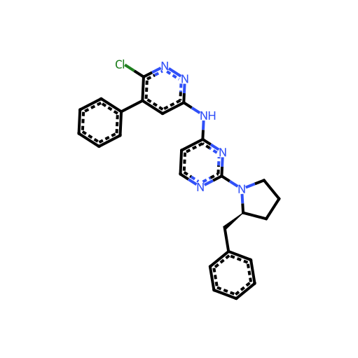 Clc1nnc(Nc2ccnc(N3CCC[C@H]3Cc3ccccc3)n2)cc1-c1ccccc1